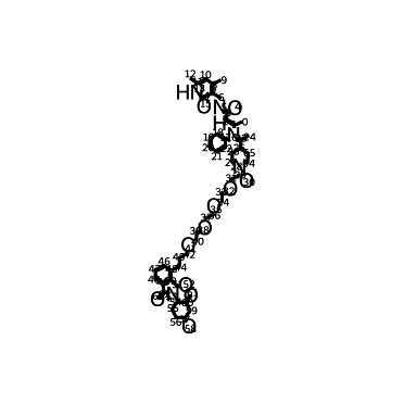 C/C(=C\C(=O)NCc1c(C)cc(C)[nH]c1=O)N(c1ccccc1)C(C)C1CCN(C(=O)COCCOCCOCCOCCCc2cccc3c2C(=O)N(C2CCC(=O)CC2=O)C3=O)CC1